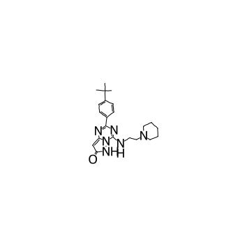 CC(C)(C)c1ccc(-c2nc(NCCN3CCCCC3)n3[nH]c(=O)cc3n2)cc1